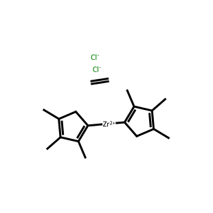 C=C.CC1=C(C)C(C)=[C]([Zr+2][C]2=C(C)C(C)=C(C)C2)C1.[Cl-].[Cl-]